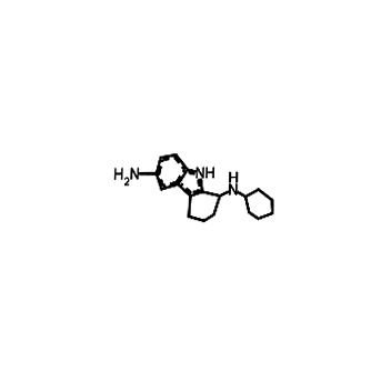 Nc1ccc2[nH]c3c(c2c1)CCCC3NC1CCCCC1